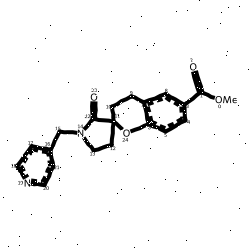 COC(=O)c1ccc2c(c1)CCC1(CCN(Cc3ccncc3)C1=O)O2